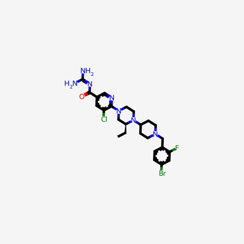 CC[C@H]1CN(c2ncc(C(=O)N=C(N)N)cc2Cl)CCN1C1CCN(Cc2ccc(Br)cc2F)CC1